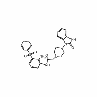 Nc1c(NC(=O)CN2CCC(n3c(=O)[nH]c4ccccc43)CC2)cccc1S(=O)(=O)c1ccccc1